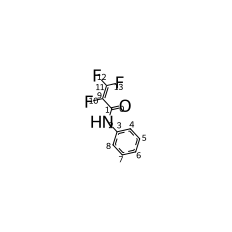 O=C(Nc1ccccc1)C(F)=C(F)F